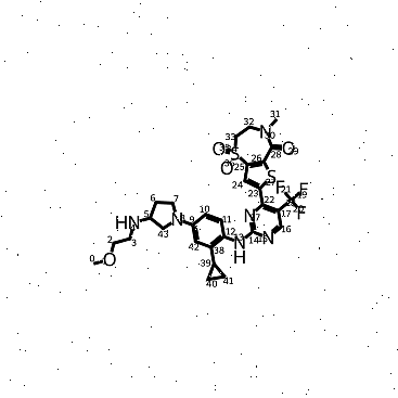 COCCNC1CCN(c2ccc(Nc3ncc(C(F)(F)F)c(-c4cc5c(s4)C(=O)N(C)CCS5(=O)=O)n3)c(C3CC3)c2)C1